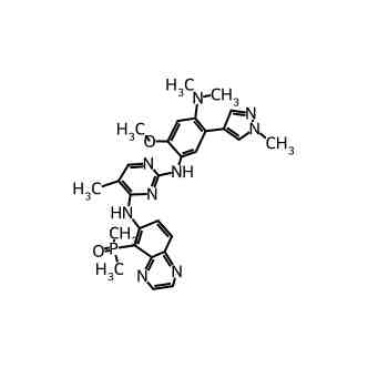 COc1cc(N(C)C)c(-c2cnn(C)c2)cc1Nc1ncc(C)c(Nc2ccc3nccnc3c2P(C)(C)=O)n1